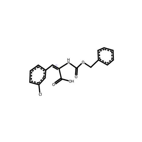 O=C(N/C(=C/c1cccc(Cl)c1)C(=O)O)OCc1ccccc1